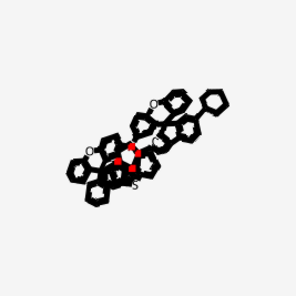 c1ccc(C2(c3ccccc3)c3ccccc3Oc3ccc(N(c4ccc5c(c4)C4(c6ccccc6O5)c5cc(C6CCCCC6)ccc5-c5ccc(C6CCCCC6)cc54)c4cccc5sc6ccccc6c45)cc32)cc1